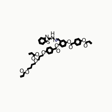 C=CC(=O)OCCCCOCC(COc1ccc(C(=O)Oc2ccc(OC(=O)c3ccc(OC(=O)C=C)cc3)cc2/C=N/Nc2nc3ccccc3s2)cc1)OC(=O)C=C